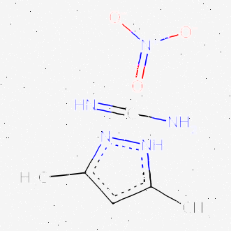 Cc1cc(C)[nH]n1.N=[C+]N.O=[N+]([O-])[O-]